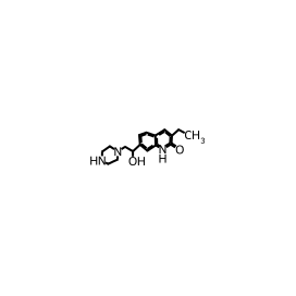 CCc1cc2ccc(C(O)CN3CCNCC3)cc2[nH]c1=O